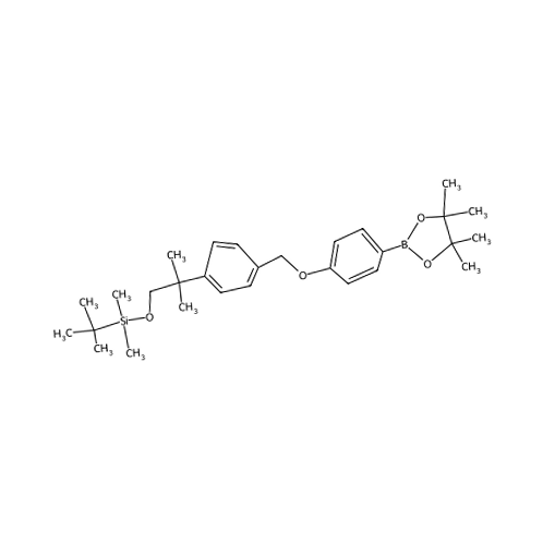 CC(C)(CO[Si](C)(C)C(C)(C)C)c1ccc(COc2ccc(B3OC(C)(C)C(C)(C)O3)cc2)cc1